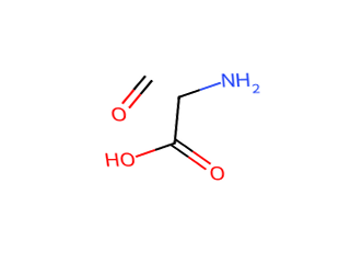 C=O.NCC(=O)O